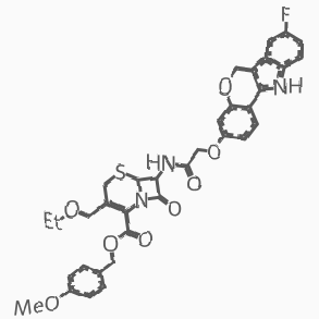 CCOCC1=C(C(=O)OCc2ccc(OC)cc2)N2C(=O)C(NC(=O)COc3ccc4c(c3)OCc3c-4[nH]c4ccc(F)cc34)C2SC1